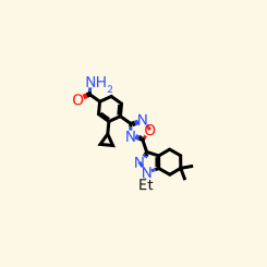 CCn1nc(-c2nc(C3=CCC(C(N)=O)C=C3C3CC3)no2)c2c1CC(C)(C)CC2